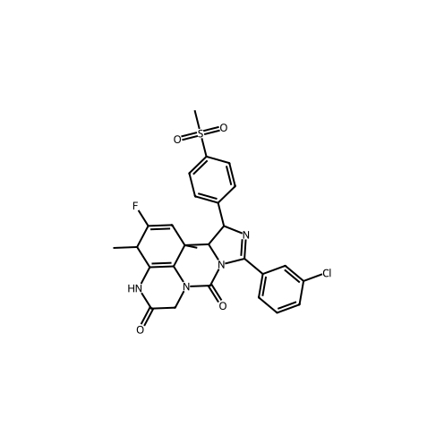 CC1C(F)=CC2(C)C3=C1NC(=O)CN3C(=O)N1C(c3cccc(Cl)c3)=NC(c3ccc(S(C)(=O)=O)cc3)C12